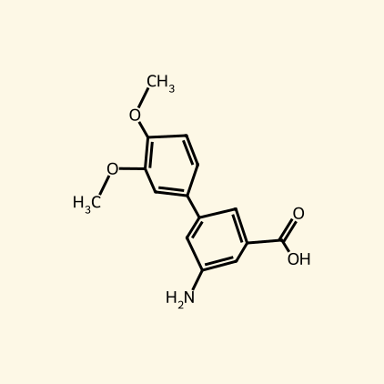 COc1ccc(-c2cc(N)cc(C(=O)O)c2)cc1OC